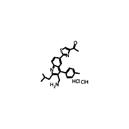 CC(=O)c1csc(-c2ccc3nc(CC(C)C)c(CN)c(-c4ccc(C)cc4)c3c2)n1.Cl.Cl